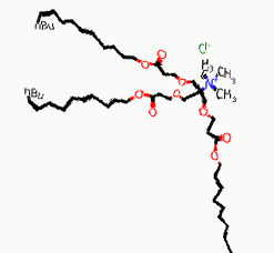 CCCC/C=C\CCCCCCCCOC(=O)CCOCC(COCCC(=O)OCCCCCCCC/C=C\CCCC)(COCCC(=O)OCCCCCCCC/C=C\CCCC)[N+](C)(C)C.[Cl-]